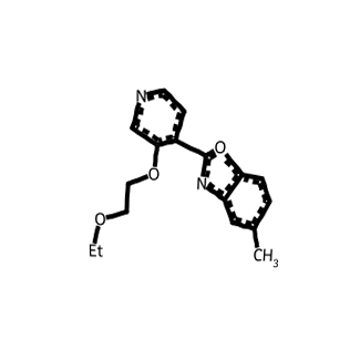 CCOCCOc1cnccc1-c1nc2cc(C)ccc2o1